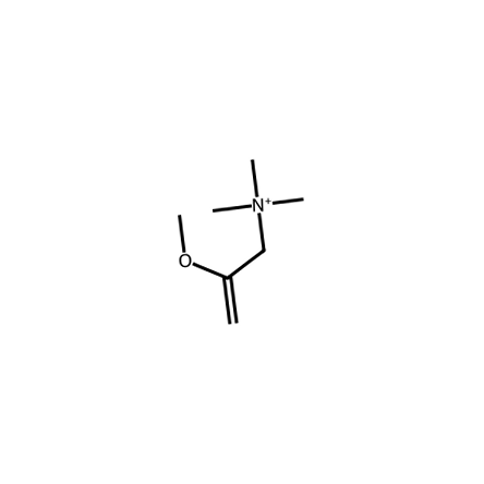 C=C(C[N+](C)(C)C)OC